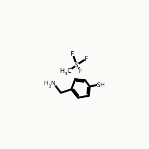 CS(F)(F)F.NCc1ccc(S)cc1